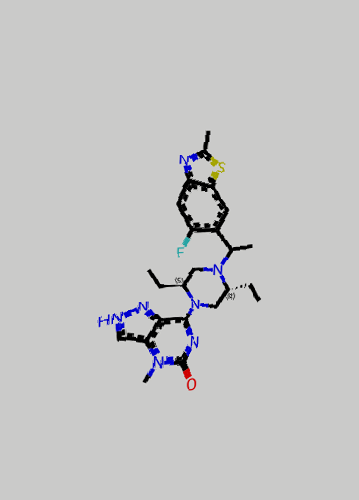 CC[C@H]1CN(C(C)c2cc3sc(C)nc3cc2F)[C@H](CC)CN1c1nc(=O)n(C)c2c[nH]nc12